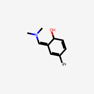 CC(C)C1=CC(=CN(C)C)C(O)C=C1